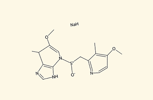 COC1=CN([S+]([O-])Cc2nccc(OC)c2C)c2[nH]cnc2C1C.[NaH]